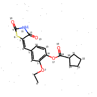 CCOc1cc(C=C2SC(=O)NC2=O)ccc1OC(=O)C1CCCC1